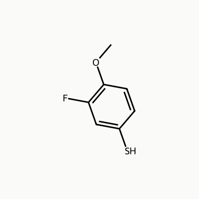 COc1ccc(S)cc1F